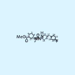 COC(=O)c1cccc(N(C)C(=O)NC2CCC(Cc3ccc(F)cc3)CN2)c1